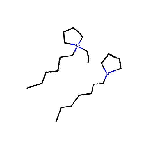 CCCCCCCN1CCCC1.CCCCCC[N+]1(CC)CCCC1